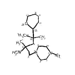 CCN1CCN(CC(C)(N)CC(C)(C)C2CCCCO2)CC1